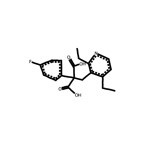 CCc1ccnc(CC)c1CC(C(=O)O)(C(=O)O)c1ccc(F)cc1